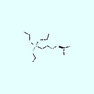 CCO[Si](CCCN=C(C)C)(OCC)OCC